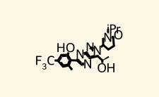 Cc1cc(C(F)(F)F)cc(O)c1-c1cnc2c([C@@H](C)O)n(C3CCC(=O)N(C(C)C)C3)nc2n1